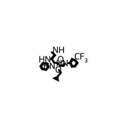 N=C/C=C(\Nc1ccccc1)C(=N)C(=O)/C(=C\Nc1cccc(C(F)(F)F)c1)OCC1CC1